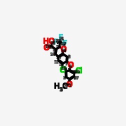 COc1ccc(Oc2cc3c(cc2Cl)C=C(C(=O)O)C(C(F)(F)F)O3)c(Cl)c1